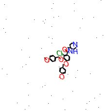 COc1ccc(COc2ccc(C(=O)NC3(C)CCN(C)CC3)c(Cl)c2OCc2ccc(OC)cc2)cc1